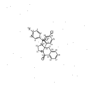 O=C(c1ccc(F)nc1)N1CCN2C(=O)c3ccccc3CC12c1ccc(Cl)cc1